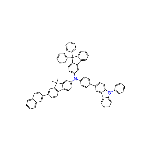 CC1(C)c2cc(-c3ccc4ccccc4c3)ccc2-c2ccc(N(c3ccc(-c4ccc5c(c4)c4ccccc4n5-c4ccccc4)cc3)c3ccc4c(c3)-c3ccccc3C4(c3ccccc3)c3ccccc3)cc21